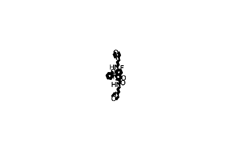 O=C(NCCCN1CCOCC1)c1cn2c3c(c(NCCCN4CCOCC4)c(F)cc3c1=O)Oc1ccccc1-2